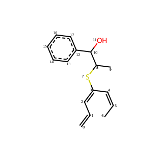 C=C/C=C(\C=C/C)SC(C)C(O)c1ccccc1